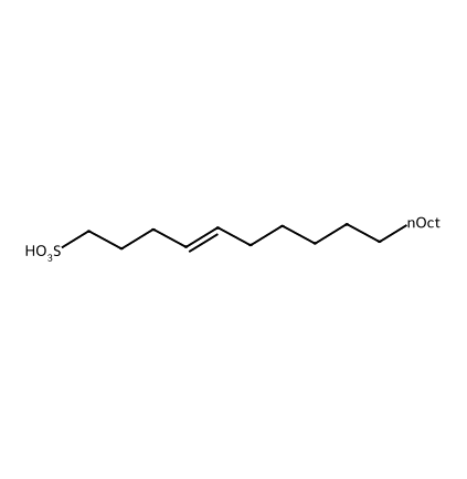 CCCCCCCCCCCCCC=CCCCS(=O)(=O)O